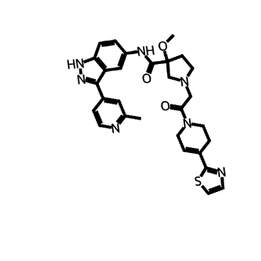 COC1(C(=O)Nc2ccc3[nH]nc(-c4ccnc(C)c4)c3c2)CCN(CC(=O)N2CC=C(c3nccs3)CC2)C1